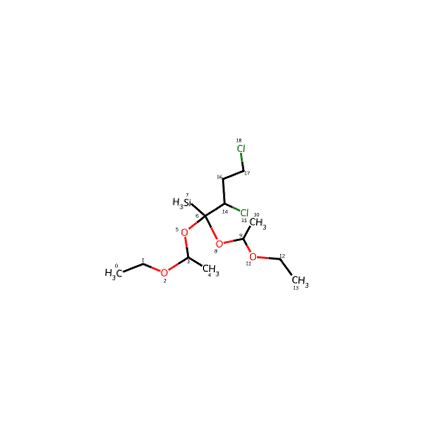 CCOC(C)OC([SiH3])(OC(C)OCC)C(Cl)CCCl